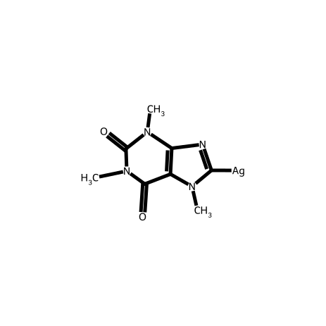 Cn1c(=O)c2c(n[c]([Ag])n2C)n(C)c1=O